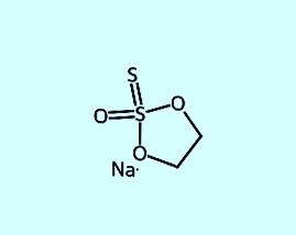 O=S1(=S)OCCO1.[Na]